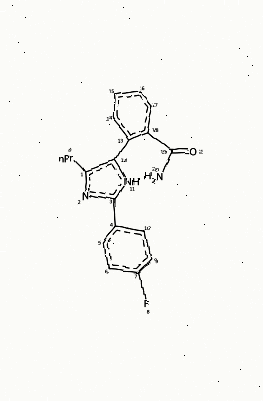 CCCc1nc(-c2ccc(F)cc2)[nH]c1-c1ccccc1C(N)=O